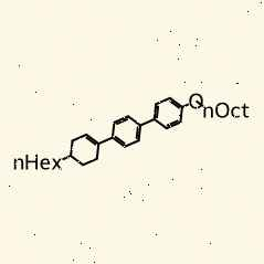 CCCCCCCCOc1ccc(-c2ccc(C3=CCC(CCCCCC)CC3)cc2)cc1